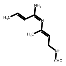 C/C=C/C(N)=N\C(C)=C\CNC=O